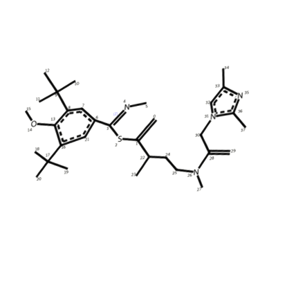 C=C(S/C(=N\C)c1cc(C(C)(C)C)c(OC)c(C(C)(C)C)c1)C(C)CCN(C)C(=C)Cn1cc(C)nc1C